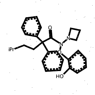 CC(C)CCC(C(=O)N(Oc1ccccc1O)N1CCC1)(c1ccccc1)c1ccccc1